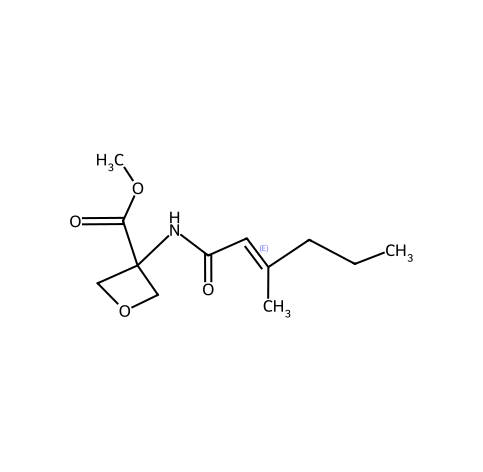 CCC/C(C)=C/C(=O)NC1(C(=O)OC)COC1